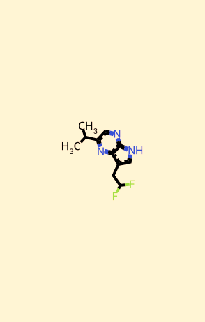 CC(C)c1cnc2[nH]cc(CC(F)F)c2n1